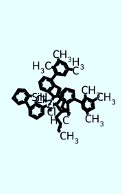 CCCCC1=Cc2c(-c3cc(C)cc(C)c3C)cccc2[CH]1[Zr]([Cl])([Cl])([c]1cccc2c1[SiH2]c1ccccc1-2)[CH]1C(CCCC)=Cc2c(-c3cc(C)cc(C)c3C)cccc21